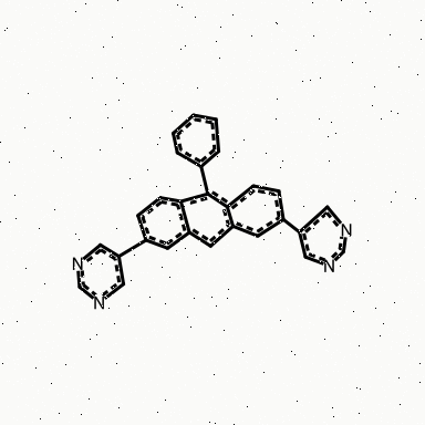 c1ccc(-c2c3ccc(-c4cncnc4)cc3cc3cc(-c4cncnc4)ccc23)cc1